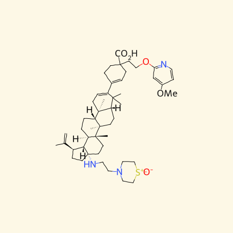 C=C(C)[C@@H]1CC[C@]2(NCCN3CC[S+]([O-])CC3)CC[C@]3(C)[C@H](CC[C@@H]4[C@@]5(C)CC=C(C6=CCC(CCOc7cc(OC)ccn7)(C(=O)O)CC6)C(C)(C)[C@@H]5CC[C@]43C)[C@@H]12